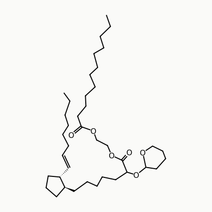 CCCCCCC=C[C@H]1CCC[C@@H]1CCCCCC(OC1CCCCO1)C(=O)OCCOC(=O)CCCCCCCCCCC